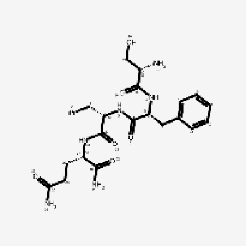 CC(C)C[C@H](NC(=O)[C@H](Cc1ccccc1)NC(=O)[C@@H](N)CO)C(=O)N[C@@H](CCC(N)=O)C(N)=O